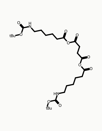 CC(C)(C)OC(=O)NCCCCCC(=O)OC(=O)CCC(=O)OC(=O)CCCCCNC(=O)OC(C)(C)C